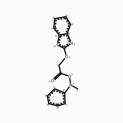 CN(OC(=O)COc1nc2ccccc2s1)c1ccccc1